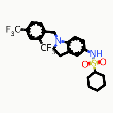 O=S(=O)(Nc1ccc2c(c1)CCN2Cc1ccc(C(F)(F)F)cc1C(F)(F)F)C1CCCCC1